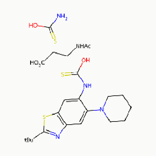 CC(=O)NCCC(=O)O.CC(C)(C)c1nc2cc(N3CCCCC3)c(NC(O)=S)cc2s1.NC(O)=S